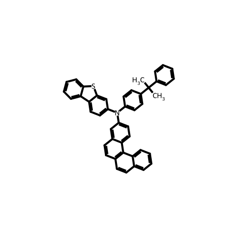 CC(C)(c1ccccc1)c1ccc(N(c2ccc3c(ccc4ccc5ccccc5c43)c2)c2ccc3c(c2)sc2ccccc23)cc1